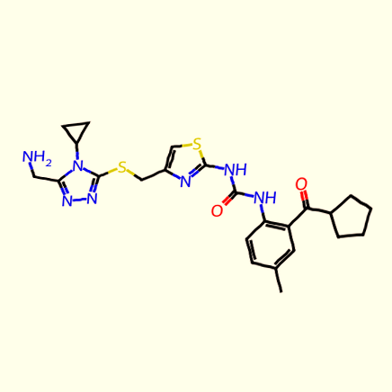 Cc1ccc(NC(=O)Nc2nc(CSc3nnc(CN)n3C3CC3)cs2)c(C(=O)C2CCCC2)c1